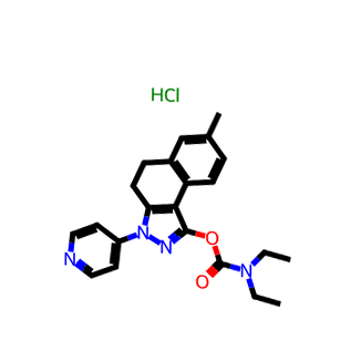 CCN(CC)C(=O)Oc1nn(-c2ccncc2)c2c1-c1ccc(C)cc1CC2.Cl